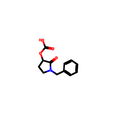 O=C(O)OC1CCN(Cc2ccccc2)C1=O